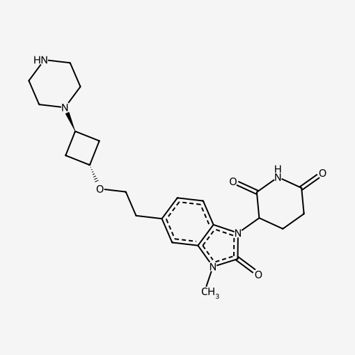 Cn1c(=O)n(C2CCC(=O)NC2=O)c2ccc(CCO[C@H]3C[C@H](N4CCNCC4)C3)cc21